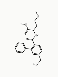 COC(=O)C(CCSC)NC(=O)c1ccc(CN)cc1-c1ccccc1